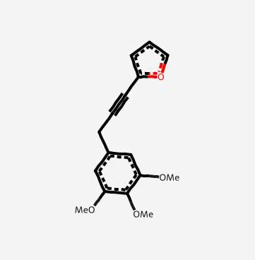 COc1cc(CC#Cc2ccco2)cc(OC)c1OC